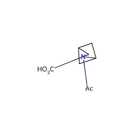 CC(=O)N1C2CC(C2)C1C(=O)O